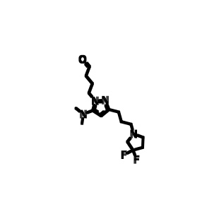 CN(C)c1cc(CCCN2CCC(F)(F)C2)nn1CCCC=O